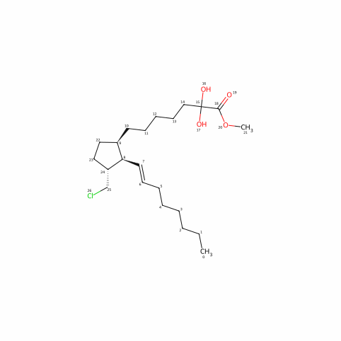 CCCCCCC=C[C@@H]1[C@H](CCCCCC(O)(O)C(=O)OC)CC[C@H]1CCl